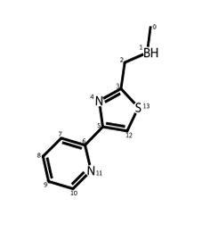 CBCc1nc(-c2ccccn2)cs1